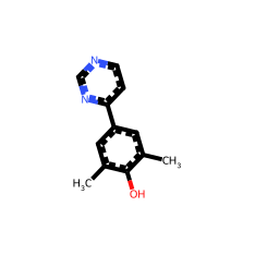 Cc1cc(-c2ccncn2)cc(C)c1O